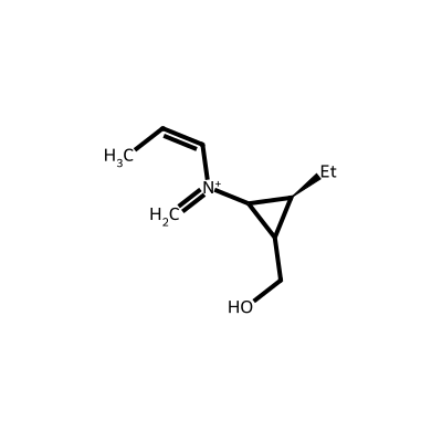 C=[N+](/C=C\C)C1C(CO)[C@@H]1CC